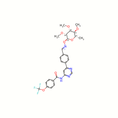 CO[C@@H]1[C@@H](OC)[C@H](C)O[C@@H](O/N=C/c2ccc(-c3cc(NC(=O)c4ccc(OC(F)(F)F)cc4)ncn3)cc2)[C@@H]1OC